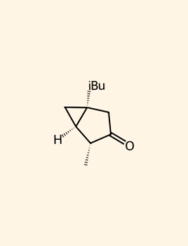 CCC(C)[C@]12CC(=O)[C@H](C)[C@H]1C2